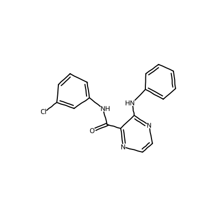 O=C(Nc1cccc(Cl)c1)c1nccnc1Nc1ccccc1